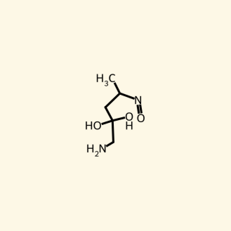 CC(CC(O)(O)CN)N=O